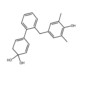 Cc1cc(Cc2ccccc2C2=CCC(O)(O)C=C2)cc(C)c1O